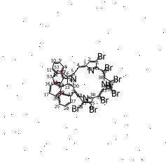 BrC1=Cc2cc3c(-c4ccccc4)c(-c4ccccc4)c(c(-c4ccccc4)c4nc(c(Br)c5c(Br)c(Br)c(c(Br)c1n2)n5Br)C(Br)=C4Br)n3-c1ccccc1